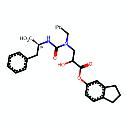 CC(C)CN(CC(O)C(=O)Oc1ccc2c(c1)CCC2)C(=O)N[C@@H](Cc1ccccc1)C(=O)O